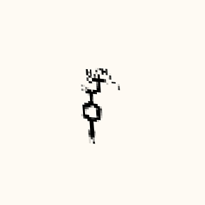 CC(C)(C)CC(=O)c1ccc(C#N)cc1